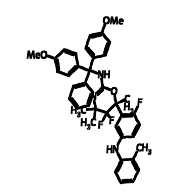 COc1ccc(C(NC2=NC(C)(C)C(F)(F)[C@@](C)(c3cc(Nc4ccccc4C)ccc3F)O2)(c2ccccc2)c2ccc(OC)cc2)cc1